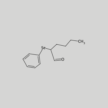 CCCCC(C=O)[Se]c1ccccc1